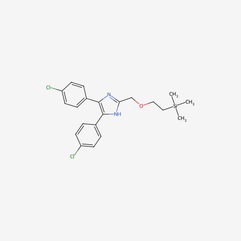 C[Si](C)(C)CCOCc1nc(-c2ccc(Cl)cc2)c(-c2ccc(Cl)cc2)[nH]1